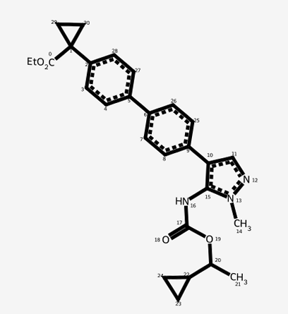 CCOC(=O)C1(c2ccc(-c3ccc(-c4cnn(C)c4NC(=O)OC(C)C4CC4)cc3)cc2)CC1